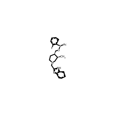 CC(=O)N(OC[C@@H]1CCN(Cc2nc3ccccc3[nH]2)C[C@@H]1C)c1ccccc1F